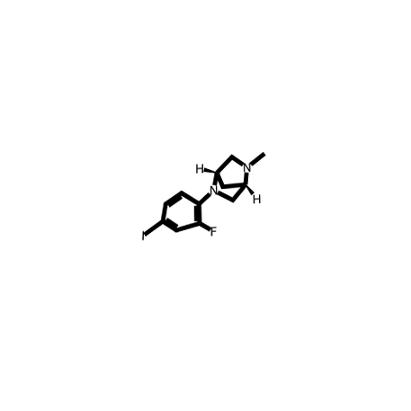 CN1C[C@@H]2C[C@H]1CN2c1ccc(I)cc1F